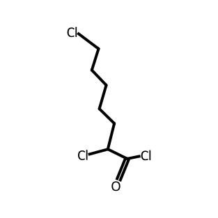 O=C(Cl)C(Cl)CCCCCCl